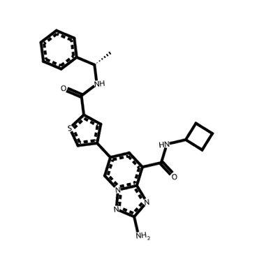 C[C@H](NC(=O)c1cc(-c2cc(C(=O)NC3CCC3)c3nc(N)nn3c2)cs1)c1ccccc1